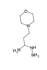 NNC(N)CCN1CCOCC1